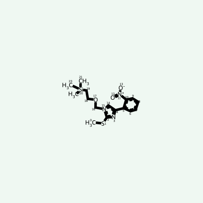 CSc1nc(-c2ccccc2[N+](=O)[O-])cn1COCC[Si](C)(C)C